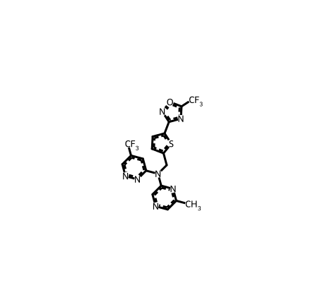 Cc1cncc(N(Cc2ccc(-c3noc(C(F)(F)F)n3)s2)c2cc(C(F)(F)F)cnn2)n1